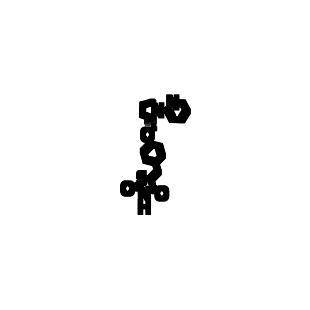 O=C1NC(=O)C(=Cc2ccc(OC[C@@H]3CCCN3c3ccccn3)cc2)S1